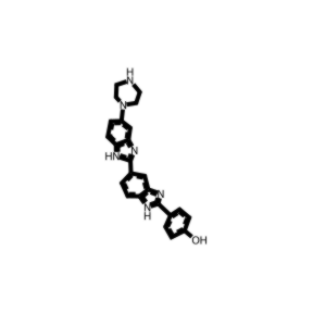 Oc1ccc(-c2nc3cc(-c4nc5cc(N6CCNCC6)ccc5[nH]4)ccc3[nH]2)cc1